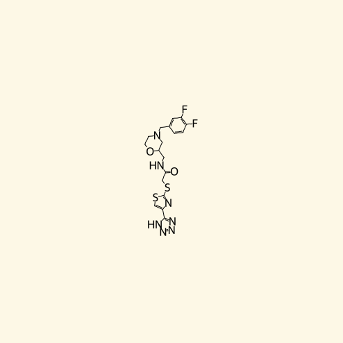 O=C(CSc1nc(-c2nnn[nH]2)cs1)NCC1CN(Cc2ccc(F)c(F)c2)CCO1